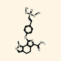 CC(C)OP(=O)(/C=C/c1ccc(Oc2sc(C(N)=O)c3c2-c2c(cnn2C)CC3)cc1)OC(C)C